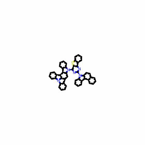 c1ccc2c(c1)ccc1c2c2ccccc2n1-c1nc(-n2c3ccccc3c3c4c5ccccc5n5c6ccccc6c(cc32)c45)c2sc3ccccc3c2n1